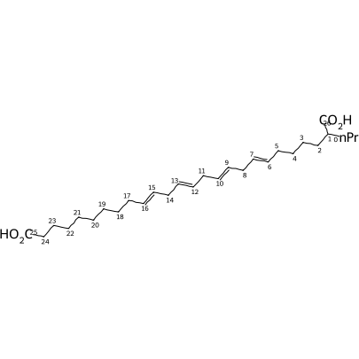 CCCC(CCCC/C=C/C/C=C/C/C=C/C/C=C/CCCCCCCCC(=O)O)C(=O)O